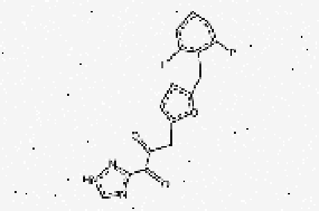 O=C(Cc1ccc(Cc2c(F)cccc2F)o1)C(=O)c1nc[nH]n1